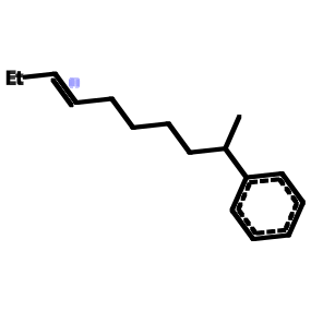 CC/C=C/CCCCC(C)c1ccccc1